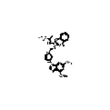 COc1nc(N)nc2c1ncn2[C@H]1C=C[C@@H](COP(=O)(N[C@@H](C)C(=O)O)Oc2ccccc2Br)C1